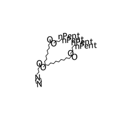 CCCCCC(CCCCC)CCOC(=O)CCCCCCCCCC(CCCCCCCC(=O)OCCC(CCCCC)CCCCC)OC(=O)CCCN1CCN(C)CC1